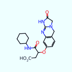 O=C(O)CC(Oc1ccc2c(c1)N=C1NC(=O)CN1C2)C(=O)NC1CCCCC1